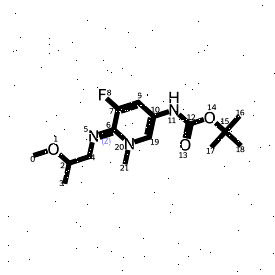 COC(C)C/N=c1/c(F)cc(NC(=O)OC(C)(C)C)cn1C